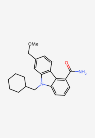 COCc1c[c]c2c3c(C(N)=O)cccc3n(CC3CCCCC3)c2c1